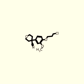 COc1cc(C2(C#N)CCOCC2)ccc1OCCCCl